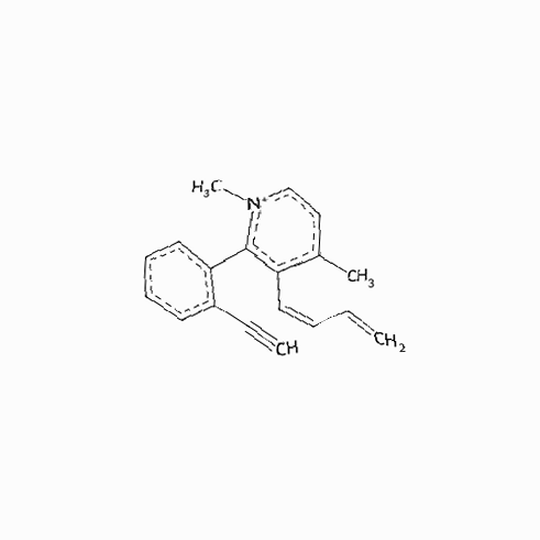 C#Cc1ccccc1-c1c(/C=C\C=C)c(C)cc[n+]1C